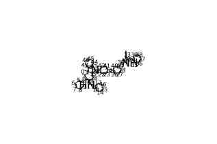 CC12CC(c3ccccc3)=C(Nc3ccccc3)C=C1N(c1ccc(-c3cccc(CNC(I)c4ccccc4)c3)cc1)c1ccccc12